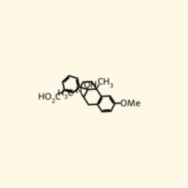 COc1ccc2c(c1)[C@@]1(C)CCN(C)C(C2)[C@]1(O)c1cccc(C(=O)O)c1